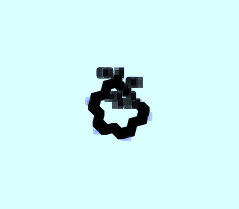 CCCCC/C=C\C/C=C\C/C=C\C/C=C\CCC(C(=O)O)P(=O)(O)O